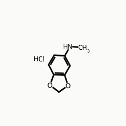 CNc1ccc2c(c1)OCO2.Cl